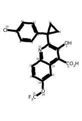 O=C(O)c1c(O)c(C2(c3ccc(Cl)cc3)CC2)nc2ccc(OC(F)(F)F)cc12